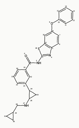 O=C(Nc1nc2ccc(Oc3ccccc3)cc2s1)c1cccc(C2CC2NCC2CC2)c1